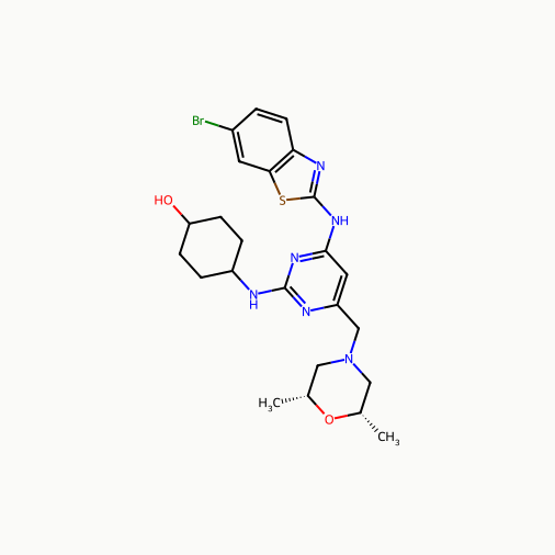 C[C@@H]1CN(Cc2cc(Nc3nc4ccc(Br)cc4s3)nc(NC3CCC(O)CC3)n2)C[C@H](C)O1